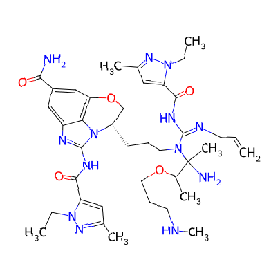 C=CC/N=C(/NC(=O)c1cc(C)nn1CC)N(CCC[C@H]1COc2cc(C(N)=O)cc3nc(NC(=O)c4cc(C)nn4CC)n1c23)C(C)(N)C(C)OCCCNC